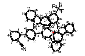 N#Cc1ccccc1-c1ccc(-c2nc(-c3ccccc3)nc(-c3ccc(C(F)(F)F)cc3-n3c4ccccc4c4ccccc43)n2)c(-n2c3ccccc3c3ccccc32)c1